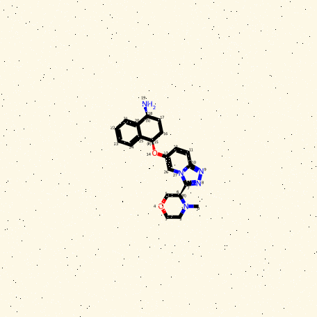 CN1CCOC[C@H]1c1nnc2ccc(O[C@@H]3CC[C@H](N)c4ccccc43)cn12